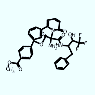 COC(=O)c1ccc(COC(=O)C(N)(C(=O)NC(Cc2ccccc2)C(O)C(F)(F)F)n2c(-c3ccccc3)cccc2=O)cc1